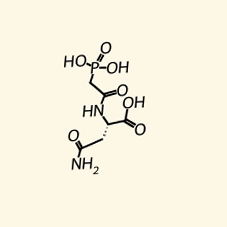 NC(=O)C[C@H](NC(=O)CP(=O)(O)O)C(=O)O